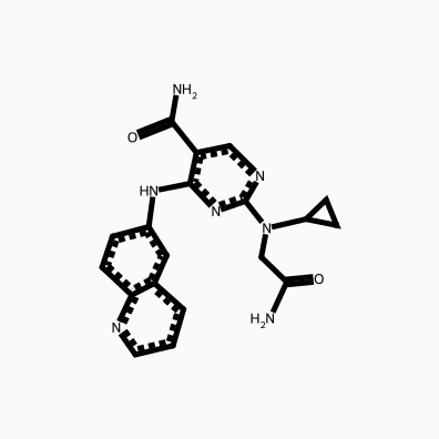 NC(=O)CN(c1ncc(C(N)=O)c(Nc2ccc3ncccc3c2)n1)C1CC1